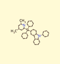 Cc1cc(C)nc([Si](c2ccccc2)(c2ccccc2)c2ccc3c(c2)c2ccccc2n3-c2ccccc2)c1